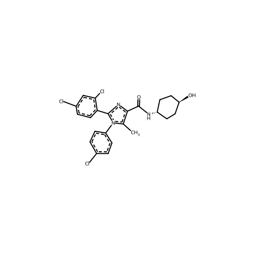 Cc1c(C(=O)N[C@H]2CC[C@H](O)CC2)nc(-c2ccc(Cl)cc2Cl)n1-c1ccc(Cl)cc1